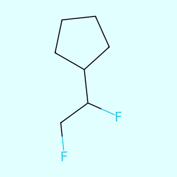 FCC(F)C1CCCC1